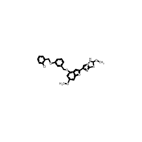 COc1cc(OCc2cccc(OCc3ccccc3Cl)c2)c2cc(-c3cn4c(n3)SC(OC)N4)oc2c1